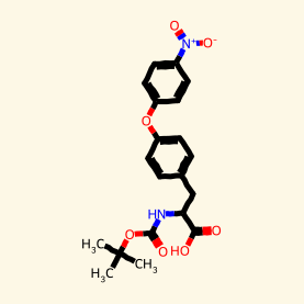 CC(C)(C)OC(=O)NC(Cc1ccc(Oc2ccc([N+](=O)[O-])cc2)cc1)C(=O)O